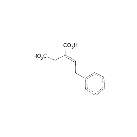 O=C(O)CC(=CCc1ccccc1)C(=O)O